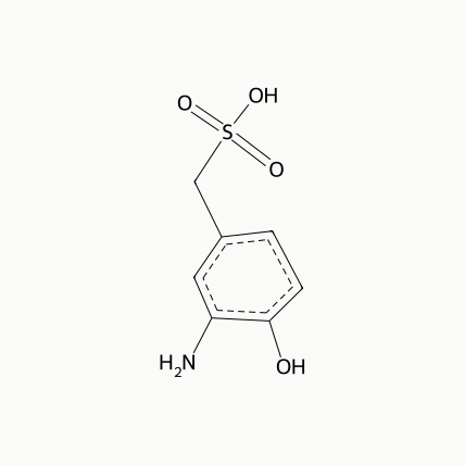 Nc1cc(CS(=O)(=O)O)ccc1O